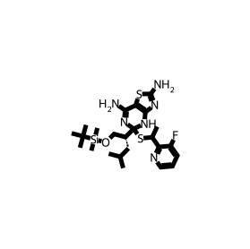 CC(C)C[C@H](CO[Si](C)(C)C(C)(C)C)C1(SC(C)c2ncccc2F)N=C(N)c2sc(N)nc2N1